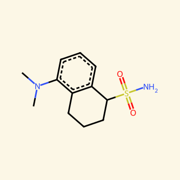 CN(C)c1cccc2c1CCCC2S(N)(=O)=O